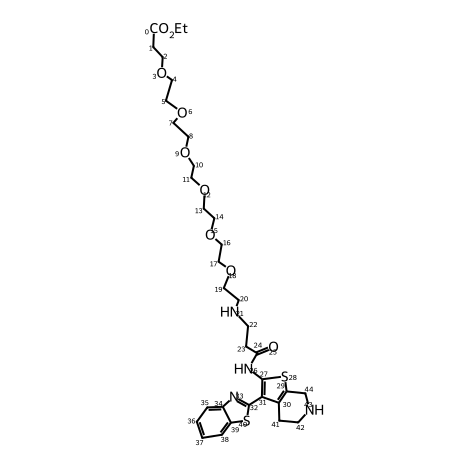 CCOC(=O)CCOCCOCCOCCOCCOCCOCCNCCC(=O)Nc1sc2c(c1-c1nc3ccccc3s1)CCNC2